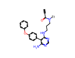 C#CC(=O)N(CC)CCCNc1ncnc(N)c1-c1ccc(Oc2ccccc2)cc1